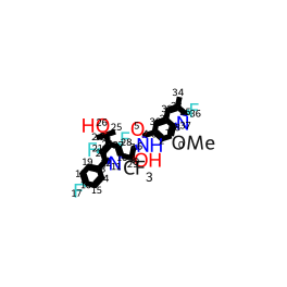 COc1cc(C(=O)NCC(O)(c2nc(-c3ccc(F)cc3)c(F)c(C(C)(C)O)c2F)C(F)(F)F)cc2cc(C)c(F)nc12